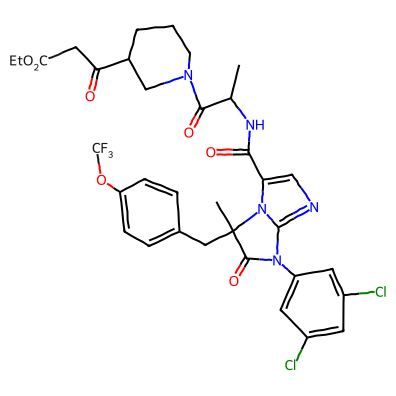 CCOC(=O)CC(=O)C1CCCN(C(=O)C(C)NC(=O)c2cnc3n2C(C)(Cc2ccc(OC(F)(F)F)cc2)C(=O)N3c2cc(Cl)cc(Cl)c2)C1